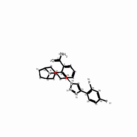 NC(=O)c1ccccc1C1CC2CCC(C1)N2CCCn1cc(-c2ccc(F)cc2F)nn1